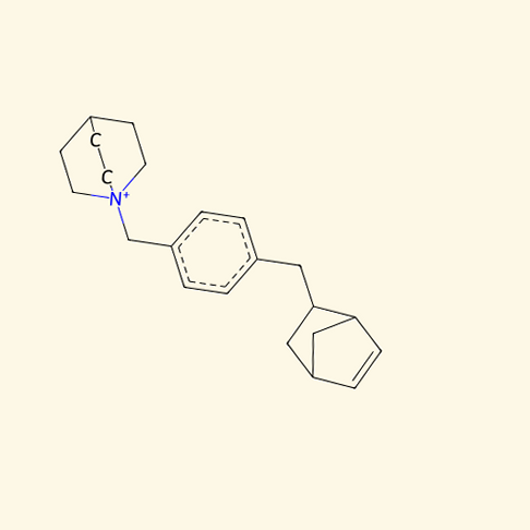 C1=CC2CC1CC2Cc1ccc(C[N+]23CCC(CC2)CC3)cc1